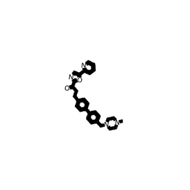 CN1CCN(Cc2ccc(-c3ccc(CCC(=O)c4ncc(-c5ccccn5)o4)cc3)cc2)CC1